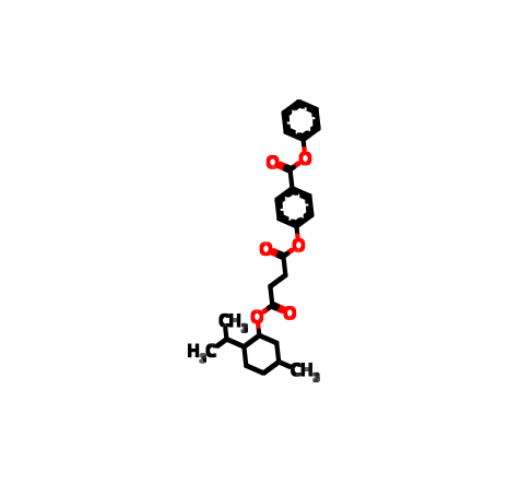 CC1CCC(C(C)C)C(OC(=O)CCC(=O)Oc2ccc(C(=O)Oc3ccccc3)cc2)C1